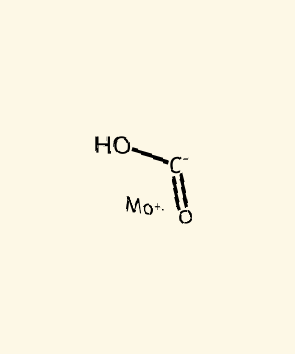 O=[C-]O.[Mo+]